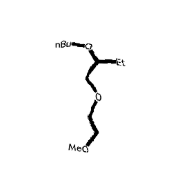 CCCCOC(CC)COCCOC